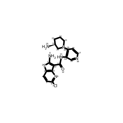 Nc1sc2ccc(Cl)nc2c1C(=O)Nc1cnccc1N1CCC[C@H](N)C1